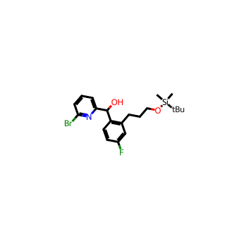 CC(C)(C)[Si](C)(C)OCCCc1cc(F)ccc1C(O)c1cccc(Br)n1